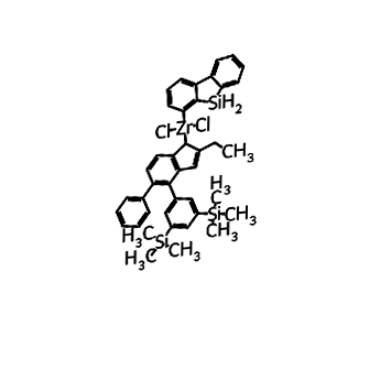 CCC1=Cc2c(ccc(-c3ccccc3)c2-c2cc([Si](C)(C)C)cc([Si](C)(C)C)c2)[CH]1[Zr]([Cl])([Cl])[c]1cccc2c1[SiH2]c1ccccc1-2